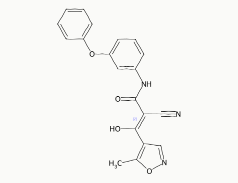 Cc1oncc1/C(O)=C(\C#N)C(=O)Nc1cccc(Oc2ccccc2)c1